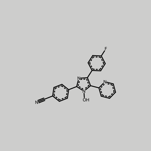 N#Cc1ccc(-c2nc(-c3ccc(F)cc3)c(-c3ccccn3)n2O)cc1